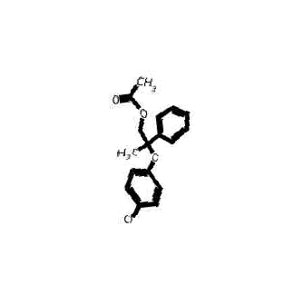 CC(=O)OCC(C)(Oc1ccc(Cl)cc1)c1ccccc1